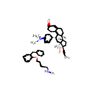 CC#C[C@]1(O)CC[C@H]2[C@@H]3CCC4=CC(=O)CCC4=C3[C@@H](c3ccc(N(C)C)cc3)C[C@@]21C.CNCCCCOc1ccccc1Cc1ccccc1